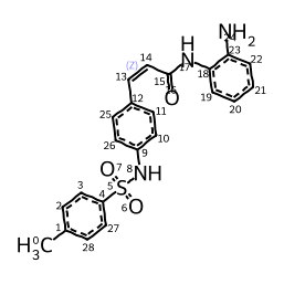 Cc1ccc(S(=O)(=O)Nc2ccc(/C=C\C(=O)Nc3ccccc3N)cc2)cc1